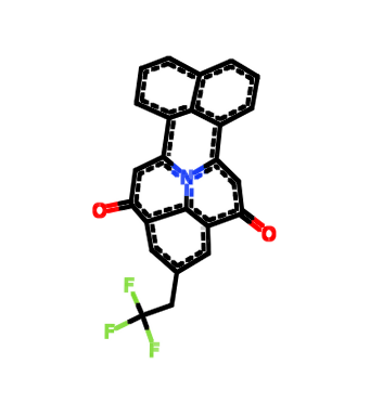 O=c1cc2c3cccc4cccc(c43)c3cc(=O)c4cc(CC(F)(F)F)cc1c4n23